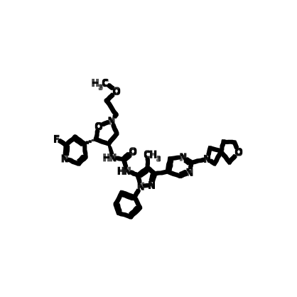 COCCN1C[C@@H](NC(=O)Nc2c(C)c(-c3cnc(N4CC5(CCOC5)C4)nc3)nn2-c2ccccc2)[C@H](c2ccnc(F)c2)O1